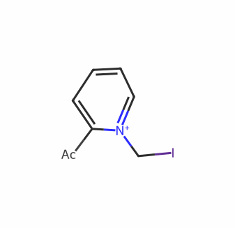 CC(=O)c1cccc[n+]1CI